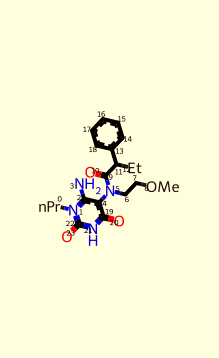 CCCn1c(N)c(N(CCOC)C(=O)C(CC)c2ccccc2)c(=O)[nH]c1=O